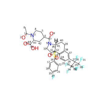 CC(=O)N1CCC(C(=O)N2CC[C@@]3(S(=O)(=O)c4ccc(F)cc4)c4ccc(C(F)(C(F)(F)F)C(F)(F)F)cc4CC[C@@H]23)CC1C(=O)O